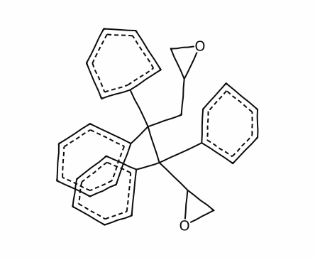 c1ccc(C(CC2CO2)(c2ccccc2)C(c2ccccc2)(c2ccccc2)C2CO2)cc1